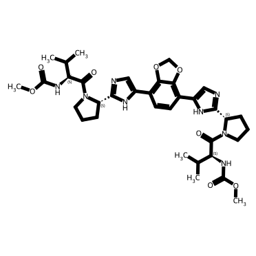 COC(=O)N[C@H](C(=O)N1CCC[C@H]1c1ncc(-c2ccc(-c3cnc([C@@H]4CCCN4C(=O)[C@@H](NC(=O)OC)C(C)C)[nH]3)c3c2OCO3)[nH]1)C(C)C